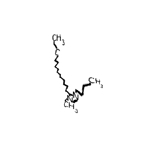 CCCCCCCCCCCCCCCCC1N(CC)C=CN1CCCCC